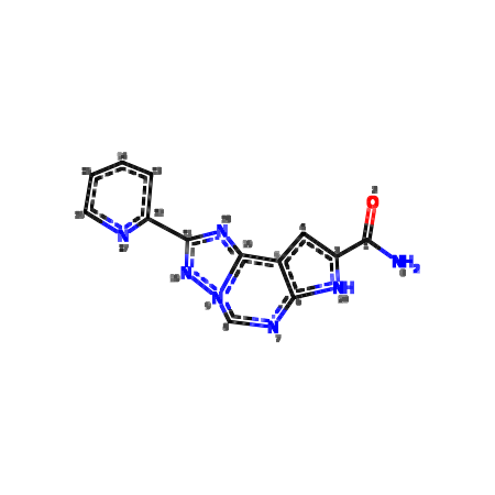 NC(=O)c1cc2c(ncn3nc(-c4ccccn4)nc23)[nH]1